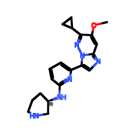 COc1cc2ncc(-c3cccc(N[C@@H]4CCCNC4)n3)n2nc1C1CC1